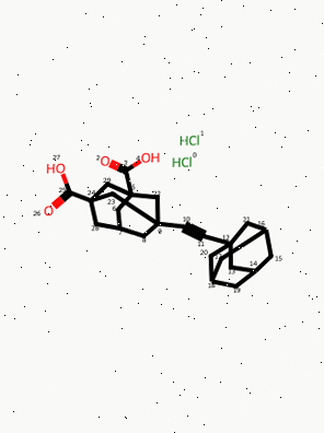 Cl.Cl.O=C(O)C12CC3CC(C#CC45CC6CC(CC(C6)C4)C5)(C1)CC(C(=O)O)(C3)C2